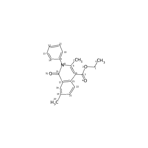 CCOC(=O)c1c(C)n(-c2ccccc2)c(=O)c2cc(C)ccc12